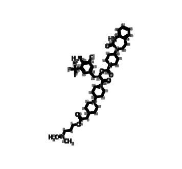 CN(C)CCCOC(=O)CC1CCN(C2CCN(C(=O)[C@@H](Cc3cc(Cl)c(N)c(C(F)(F)F)c3)OC(=O)N3CCC(N4CCc5ccccc5NC4=O)CC3)CC2)CC1